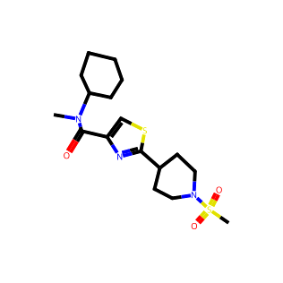 CN(C(=O)c1csc(C2CCN(S(C)(=O)=O)CC2)n1)C1CCCCC1